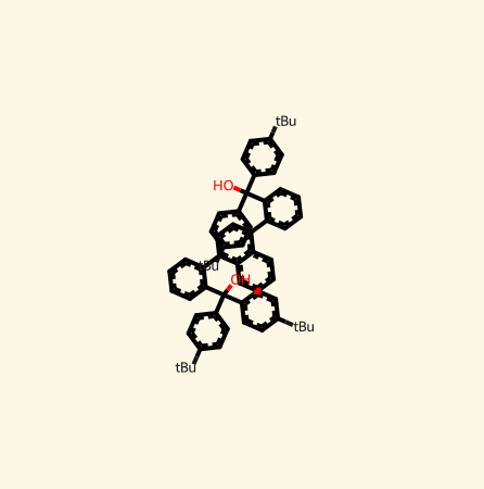 CC(C)(C)c1ccc(C(O)(c2ccc(C(C)(C)C)cc2)c2ccccc2-c2ccc(-c3ccccc3C(O)(c3ccc(C(C)(C)C)cc3)c3ccc(C(C)(C)C)cc3)c3ccccc23)cc1